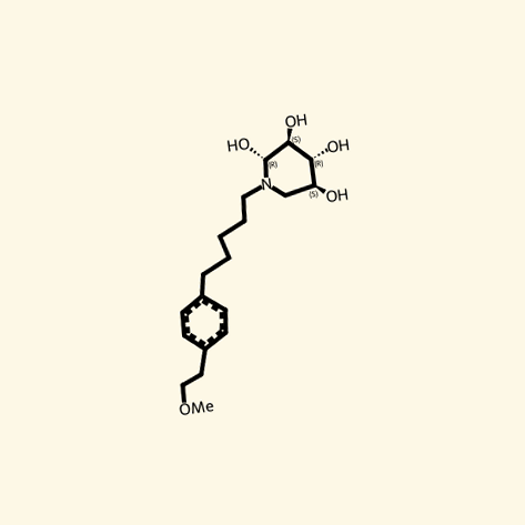 COCCc1ccc(CCCCCN2C[C@H](O)[C@@H](O)[C@H](O)[C@H]2O)cc1